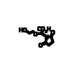 O=C(O)C(OCCO)N1C(=O)CCC1=O